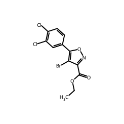 CCOC(=O)c1noc(-c2ccc(Cl)c(Cl)c2)c1Br